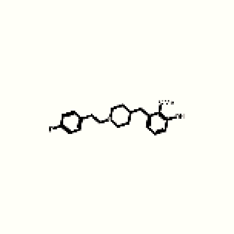 COc1c(O)cccc1[CH]C1CCN(CCc2ccc(F)cc2)CC1